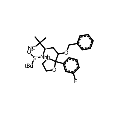 CC(C)(C#N)[C@@H](CC(OCc1ccccc1)C1(c2cccc(F)c2)OCCO1)N[S+]([O-])C(C)(C)C